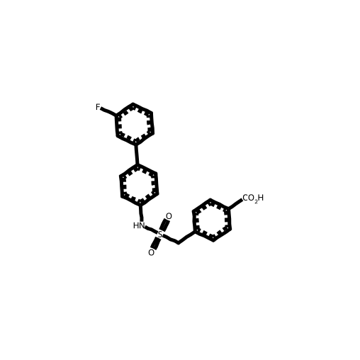 O=C(O)c1ccc(CS(=O)(=O)Nc2ccc(-c3cccc(F)c3)cc2)cc1